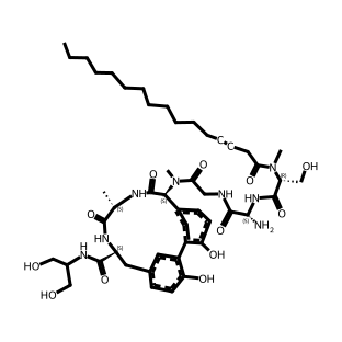 CCCCCCCCCCCCCCCC(=O)N(C)[C@H](CO)C(=O)N[C@H](N)C(=O)NCC(=O)N(C)[C@@H]1C(=O)N[C@@H](C)C(=O)N[C@H](C(=O)NC(CO)CO)Cc2ccc(O)c(c2)-c2cc1ccc2O